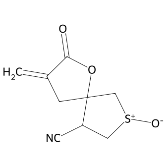 C=C1CC2(C[S+]([O-])CC2C#N)OC1=O